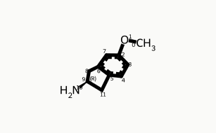 COc1ccc2c(c1)C[C@H](N)C2